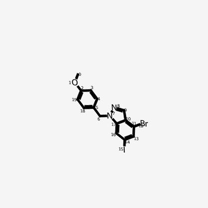 COc1ccc(Cn2ncc3c(Br)cc(I)cc32)cc1